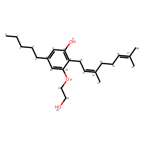 CCCCCc1cc(O)c(CC=C(C)CCC=C(C)C)c(OCCO)c1